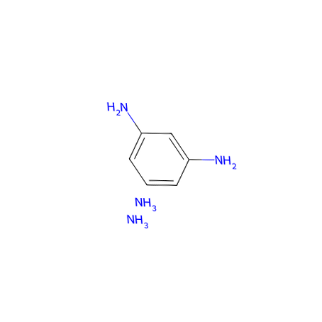 N.N.Nc1cccc(N)c1